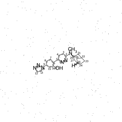 CN(c1ccc(-c2ccc(-n3ccnn3)cc2O)nn1)[C@H]1CC2CC[C@@H](C2)C1